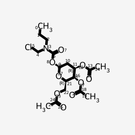 CCCN(CCl)C(=O)O[C@H]1C[C@@H](OC(C)=O)[C@@H](OC(C)=O)[C@@H](COC(C)=O)O1